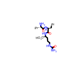 CC(C)C[C@H](NC(=O)[C@@H](N)C(C)C)C(=O)N[C@@H](CCCNC(N)=O)C(=O)O